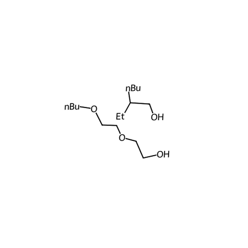 CCCCC(CC)CO.CCCCOCCOCCO